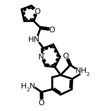 CC1=CC=C(C(N)=O)CC1(C(N)=O)c1ccc(NC(=O)c2ccco2)nc1